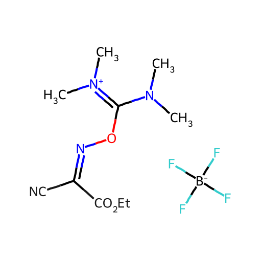 CCOC(=O)/C(C#N)=N\OC(N(C)C)=[N+](C)C.F[B-](F)(F)F